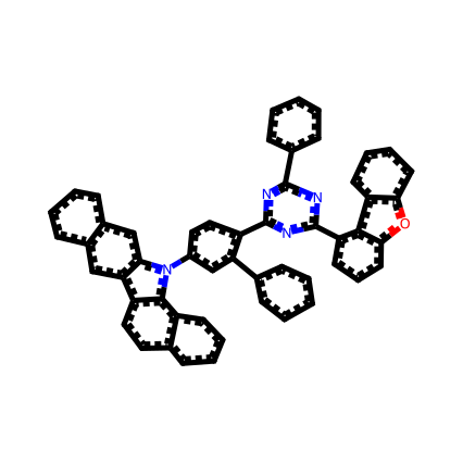 c1ccc(-c2nc(-c3ccc(-n4c5cc6ccccc6cc5c5ccc6ccccc6c54)cc3-c3ccccc3)nc(-c3cccc4oc5ccccc5c34)n2)cc1